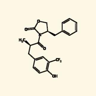 C[C@H](Cc1ccc(O)c(C(F)(F)F)c1)C(=O)N1C(=O)OC[C@H]1Cc1ccccc1